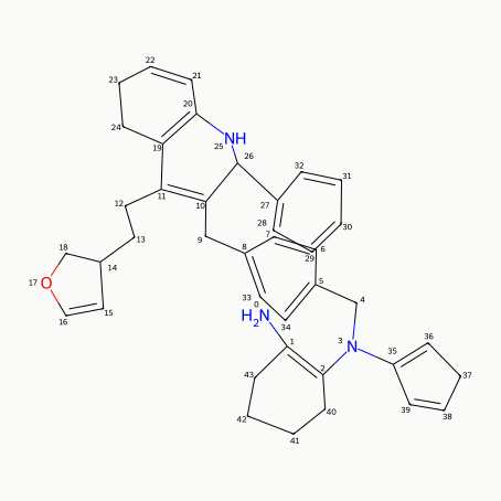 NC1=C(N(Cc2ccc(CC3=C(CCC4C=COC4)C4=C(C=CCC4)NC3c3ccccc3)cc2)C2=CCC=C2)CCCC1